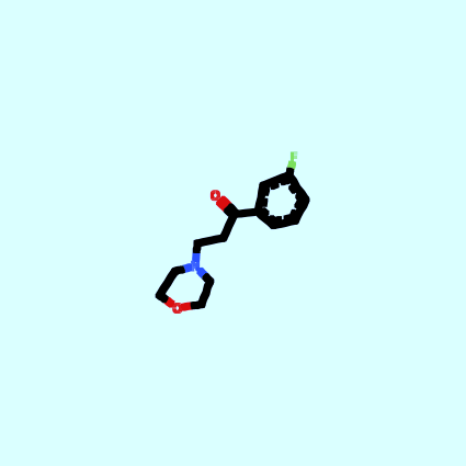 O=C(CCN1CCOCC1)c1cccc(F)c1